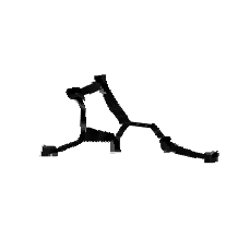 CCOCc1noc(C(C)C)n1